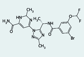 Cc1nc([C@H](C)NC(=O)c2cc(Br)cc(OC(F)F)c2)n(C2=NC(C)NC(C(N)=O)=C2)n1